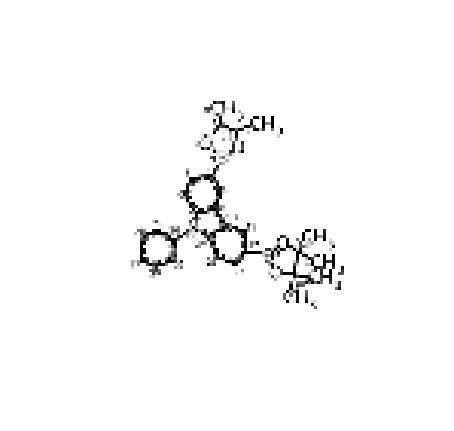 CC1OB(c2ccc3c(c2)c2cc(B4OC(C)(C)C(C)(C)O4)ccc2n3-c2ccccc2)OC1C